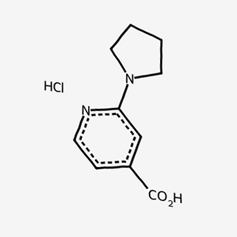 Cl.O=C(O)c1ccnc(N2CCCC2)c1